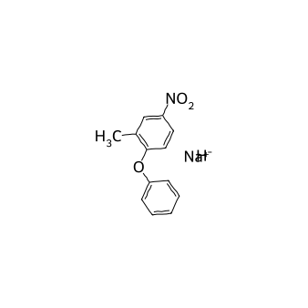 Cc1cc([N+](=O)[O-])ccc1Oc1ccccc1.[H-].[Na+]